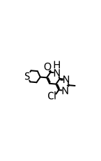 Cc1nc(Cl)c2cc(C3CCSCC3)c(=O)[nH]c2n1